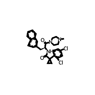 CN1CCN(C(=O)[C@H](Cc2ccc3ccccc3c2)NC(=O)C2(c3ccc(Cl)cc3Cl)CC2)CC1